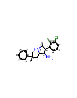 CC1NC(CC(C)(C)c2ccccc2)C(N)C1c1cccc(Cl)c1F